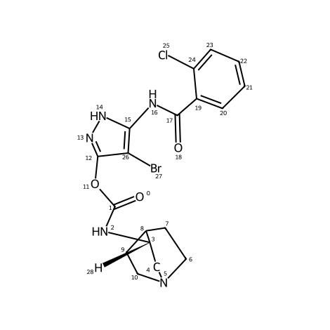 O=C(N[C@H]1CN2CCC1CC2)Oc1n[nH]c(NC(=O)c2ccccc2Cl)c1Br